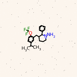 CC(C)c1ccc(OC(F)(F)F)c(CC2CCCN(N)C2c2ccccc2)c1